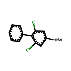 CNc1cc(Cl)c(-c2ccccc2)c(Cl)c1